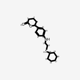 O=C1CCCC(c2ccc(NCCSC3CCCCC3)cc2)O1